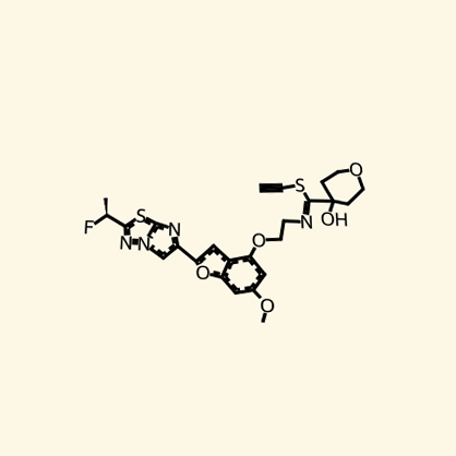 C#CS/C(=N\CCOc1cc(OC)cc2oc(-c3cn4nc([C@H](C)F)sc4n3)cc12)C1(O)CCOCC1